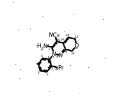 CC(C)c1ccccc1N1N=C2COCC=C2C(C#N)=C1N